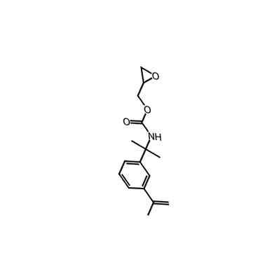 C=C(C)c1cccc(C(C)(C)NC(=O)OCC2CO2)c1